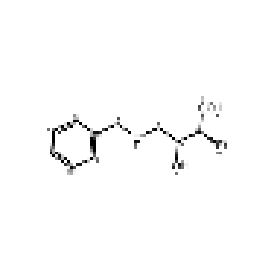 CC[C@H](C(=O)O)C(O)COCc1ccccc1